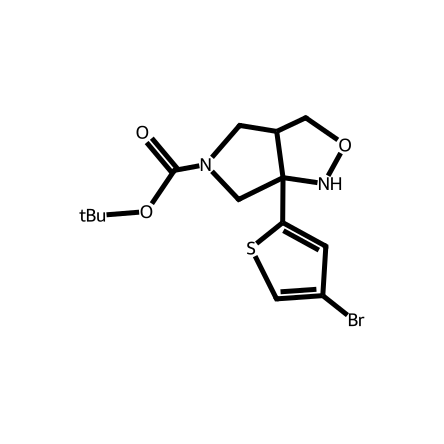 CC(C)(C)OC(=O)N1CC2CONC2(c2cc(Br)cs2)C1